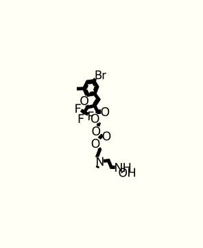 Cc1cc(Br)cc2c1OC(C(F)(F)F)C(C(=O)OCOC(=O)OCCN(C)CCNO)=C2